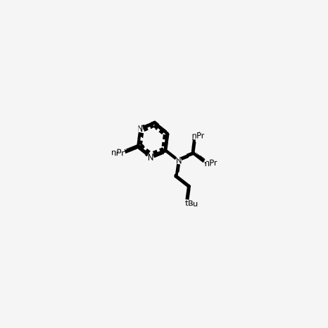 CCCc1nccc(N(CCC(C)(C)C)C(CCC)CCC)n1